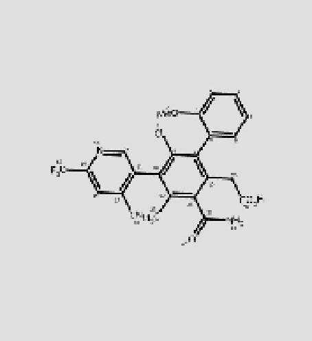 COc1ccccc1-c1c(Cl)c(-c2cnc(C(F)(F)F)cc2C#N)c(C)c(C(N)=O)c1CC(=O)O